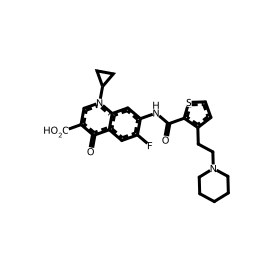 O=C(Nc1cc2c(cc1F)c(=O)c(C(=O)O)cn2C1CC1)c1sccc1CCN1CCCCC1